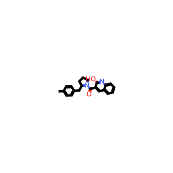 Cc1ccc(CC2CCCN2C(=O)c2cc3ccccc3nc2O)cc1